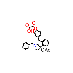 CC(=O)OC1(c2ccccc2Cc2ccccc2)CCN(Cc2ccccc2)C1.O=C(O)C(=O)O